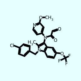 COc1cc(N(C(=O)C=O)c2c(C)n(Cc3ccc(Cl)cc3)c3ccc(OC(F)(F)F)cc23)ccn1